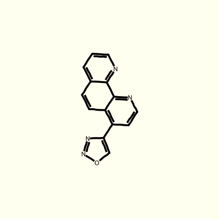 c1cnc2c(c1)ccc1c(-c3conn3)ccnc12